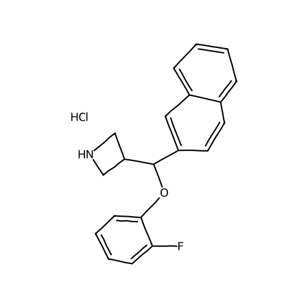 Cl.Fc1ccccc1OC(c1ccc2ccccc2c1)C1CNC1